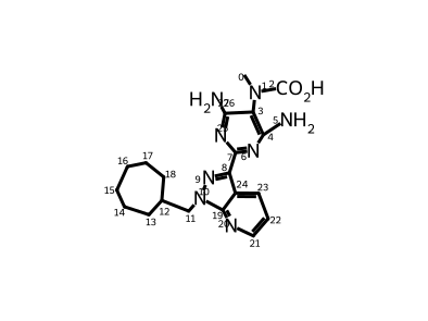 CN(C(=O)O)c1c(N)nc(-c2nn(CC3CCCCCC3)c3ncccc23)nc1N